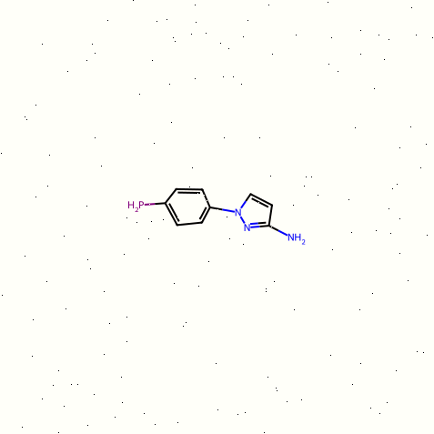 Nc1ccn(-c2ccc(P)cc2)n1